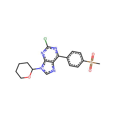 CS(=O)(=O)c1ccc(-c2nc(Cl)nc3c2ncn3C2CCCCO2)cc1